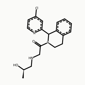 C[C@@H](O)CNCC(=O)N1CCc2ccccc2C1c1cc(Cl)ccn1